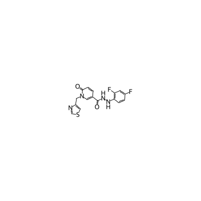 O=C(NNc1ccc(F)cc1F)c1ccc(=O)n(Cc2cscn2)c1